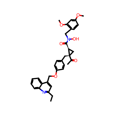 CCc1cc(COc2ccc(C[C@]3(C(C)=O)C[C@@H]3C(=O)N(O)Cc3ccc(OC)cc3OC)cc2)c2ccccc2n1